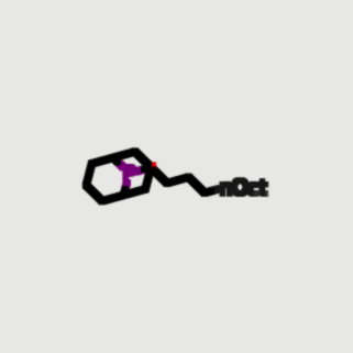 CCCCCCCCCCCCP1C2CCCC1CCC2